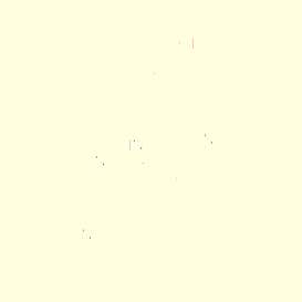 CNC(C(=O)NC(C(=O)N(C)[C@H](/C=C(\C)C(=O)O)C(C)C)C(C)(C)C)C1CCCN(C(C)C)C1